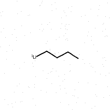 [1Li][CH2]CCC